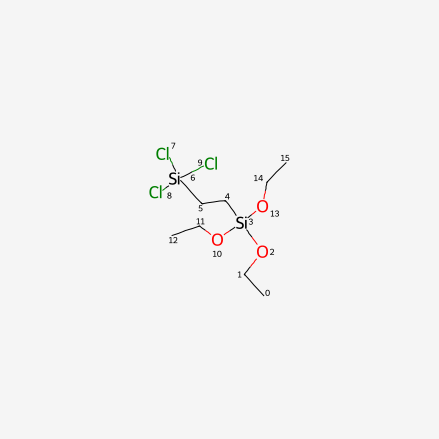 CCO[Si](CC[Si](Cl)(Cl)Cl)(OCC)OCC